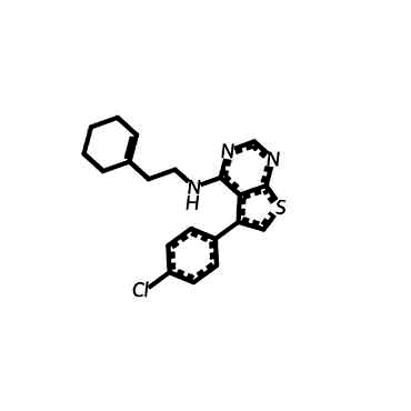 Clc1ccc(-c2csc3ncnc(NCCC4=CCCCC4)c23)cc1